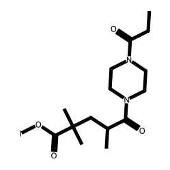 CCC(=O)N1CCN(C(=O)C(C)CC(C)(C)C(=O)OI)CC1